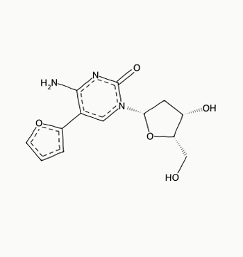 Nc1nc(=O)n([C@@H]2C[C@H](O)[C@H](CO)O2)cc1-c1ccco1